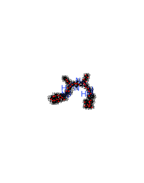 N#C/C(=C(/C#N)c1ccc(N(c2ccc(-c3ccccc3)cc2)c2ccc(-c3ccc(/N=C4\Nc5ccc(-c6cccc7c6-c6ccccc6C7(c6ccccc6)c6ccccc6)c6cccc4c56)nc3)cc2)cc1)c1ccc(N(c2ccc(-c3ccccc3)cc2)c2ccc(-c3ccc(/N=C4\Nc5ccc(-c6cccc7c6-c6ccccc6C7(c6ccccc6)c6ccccc6)c6cccc4c56)nc3)cc2)cc1